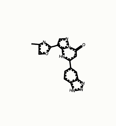 Cc1coc(-c2cnn3c(=O)cc(-c4ccc5[nH]nnc5c4)[nH]c23)n1